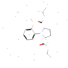 CCOC(=O)[C@H]1CC[C@@H](C(=O)OCC)N1c1ccccc1OC